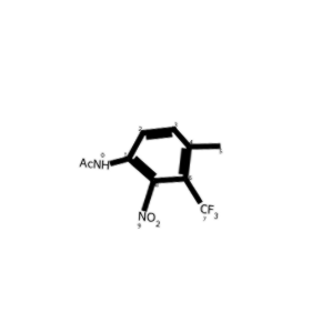 CC(=O)Nc1ccc(C)c(C(F)(F)F)c1[N+](=O)[O-]